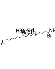 Br.CBr.CBr.CCCCCCCCCCCCCCCCC(N)Br